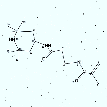 C=C(C)C(=O)NCCC(=O)NC1CC(C)(C)NC(C)(C)C1